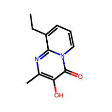 CCc1cccn2c(=O)c(O)c(C)nc12